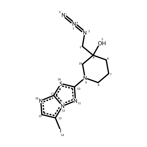 [N-]=[N+]=NCC1(O)CCCN(c2nn3c(I)cnc3s2)C1